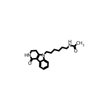 CC(=O)NCCCCCCn1c2c(c3ccccc31)C(=O)NCC2